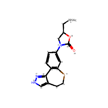 CC(=O)NCC1CN(c2ccc3c(c2)SCCc2c[nH]nc2-3)C(=O)O1